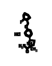 C[C@@]1(C(N)=O)CC[C@H](c2ccc(OCc3ccccc3F)cc2)N1.Cl